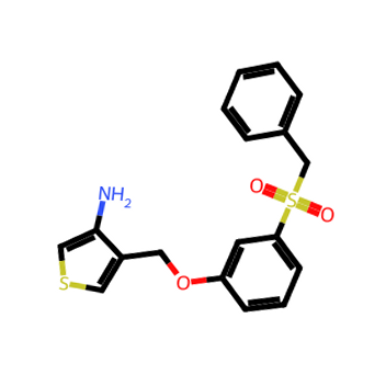 Nc1cscc1COc1cccc(S(=O)(=O)Cc2ccccc2)c1